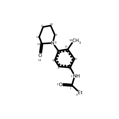 CCC(=O)Nc1ccc(N2CCCCC2=O)c(C)c1